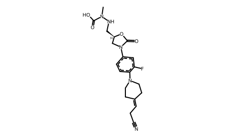 CN(NC[C@@H]1CN(c2ccc(N3CCC(=CCC#N)CC3)c(F)c2)C(=O)O1)C(=O)O